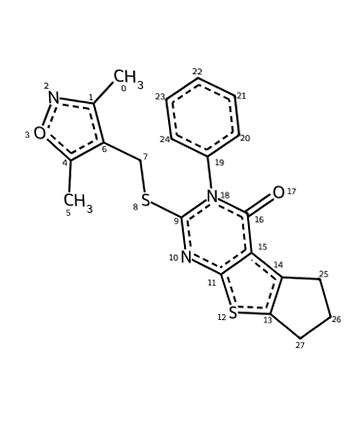 Cc1noc(C)c1CSc1nc2sc3c(c2c(=O)n1-c1ccccc1)CCC3